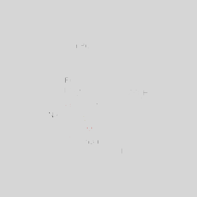 CCCCC(CC)CC(C(=O)O)C(CC(CC)CCCC)(C(=O)O)S(=O)(=O)[O-].[Na+]